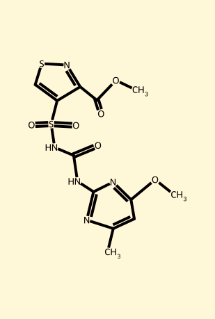 COC(=O)c1nscc1S(=O)(=O)NC(=O)Nc1nc(C)cc(OC)n1